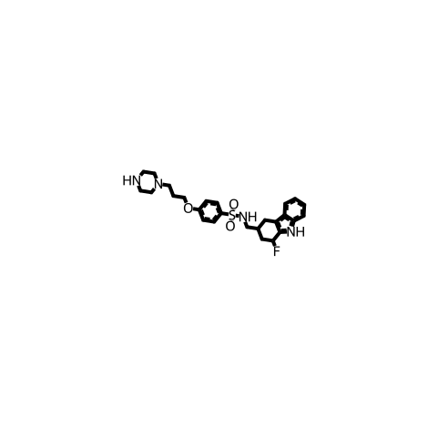 O=S(=O)(NCC1Cc2c([nH]c3ccccc23)C(F)C1)c1ccc(OCCCN2CCNCC2)cc1